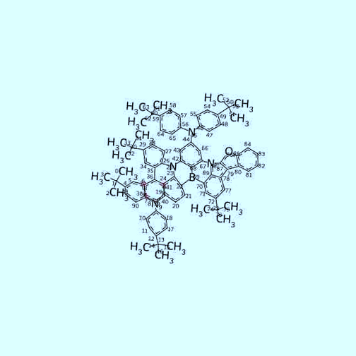 CC(C)(C)c1ccc(N(c2ccc(C(C)(C)C)cc2)c2ccc3c(c2)N(c2ccc(C(C)(C)C)cc2-c2ccccc2)c2cc(N(c4ccc(C(C)(C)C)cc4)c4ccc(C(C)(C)C)cc4)cc4c2B3c2cc(C(C)(C)C)cc3c5c6ccccc6oc5n-4c23)cc1